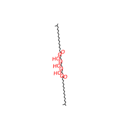 CC(C)CCCCCCCCCCCCCCC(=O)OCC(O)COCC(O)COCC(O)COC(=O)CCCCCCCCCCCCCCC(C)C